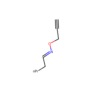 C#CCO/N=[C]/CCCC